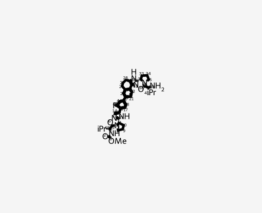 COC(=O)N[C@H](C(=O)N1CCC[C@H]1c1ncc(-c2ccc(-c3ccc4c(c3)CCCc3[nH]c([C@@H]5CCCN5C(=O)[C@@H](N)C(C)C)nc3-4)cc2F)[nH]1)C(C)C